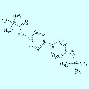 C=C(/C=C\C(=C/C)c1ccc(OC(=O)C(C)(C)C)cc1)OC(C)(C)C